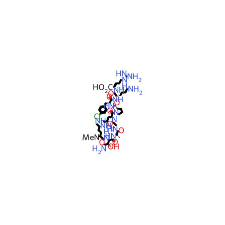 CN[C@@H](CCCCN)C(=O)N[C@H](C(=O)N[C@@H](C)C(=O)NCC(=O)/N=C(\CCCN)C(=O)N1CCC[C@H]1C(=O)N[C@@H](Cc1ccc(Cl)cc1)C(=O)N[C@@H](CCCCN)C(=O)N/C(=C\CCNC(=N)N)C(=O)O)[C@@H](O)CN